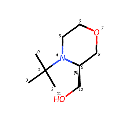 CC(C)(C)N1CCOC[C@H]1CO